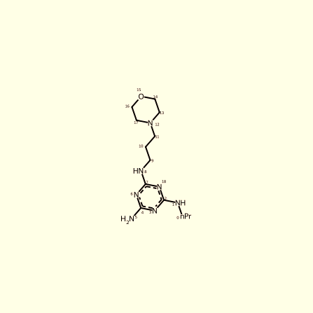 CCCNc1nc(N)nc(NCCCN2CCOCC2)n1